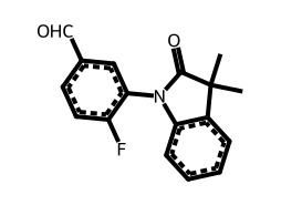 CC1(C)C(=O)N(c2cc(C=O)ccc2F)c2ccccc21